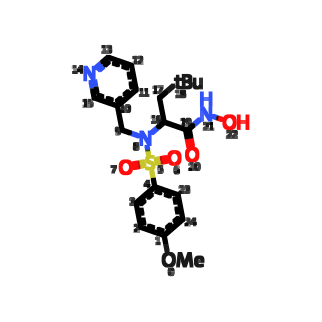 COc1ccc(S(=O)(=O)N(Cc2cccnc2)C(CC(C)(C)C)C(=O)NO)cc1